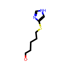 [O]CCCCCSc1c[nH]cn1